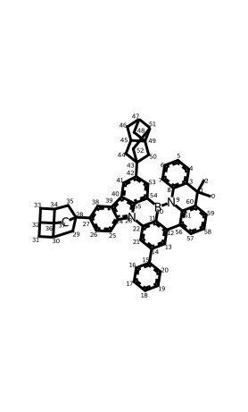 CC1(C)c2ccccc2N2B3c4c(cc(-c5ccccc5)cc4-n4c5ccc(C67CC8CC9CC(C6)C98C7)cc5c5cc(C67CC8CC9CC8(C6)C9C7)cc3c54)-c3cccc1c32